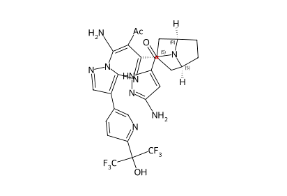 CC(=O)c1c([C@@H]2C[C@H]3CC[C@@H](C2)N3C(=O)c2cc(N)n[nH]2)nc2c(-c3ccc(C(O)(C(F)(F)F)C(F)(F)F)nc3)cnn2c1N